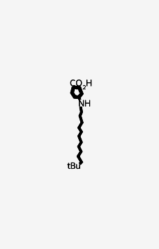 CC(C)(C)CCCCCCCCCCCCNc1ccc(C(=O)O)cc1